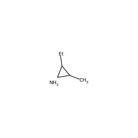 CCC1CC1C.N